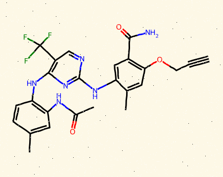 C#CCOc1cc(C)c(Nc2ncc(C(F)(F)F)c(Nc3ccc(C)cc3NC(C)=O)n2)cc1C(N)=O